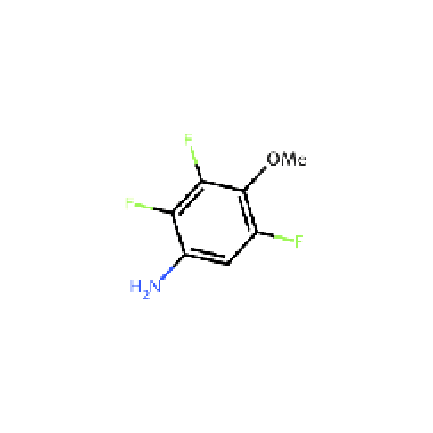 COc1c(F)cc(N)c(F)c1F